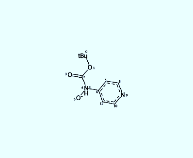 CC(C)(C)OC(=O)[NH+]([O-])c1ccncc1